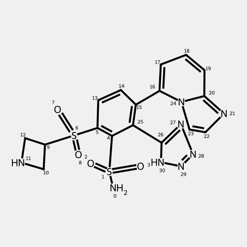 NS(=O)(=O)c1c(S(=O)(=O)C2CNC2)ccc(-c2cccc3nccn23)c1-c1nnn[nH]1